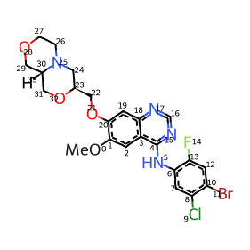 COc1cc2c(Nc3cc(Cl)c(Br)cc3F)ncnc2cc1OC[C@@H]1CN2CCOC[C@H]2CO1